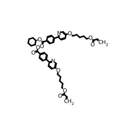 C=CC(=O)OCCCCCOc1ccc(-c2ccc(C(=O)O[C@@H]3CCCC[C@H]3OC(=O)c3ccc(-c4ccc(OCCCCCOC(=O)C=C)cn4)cc3)cc2)nc1